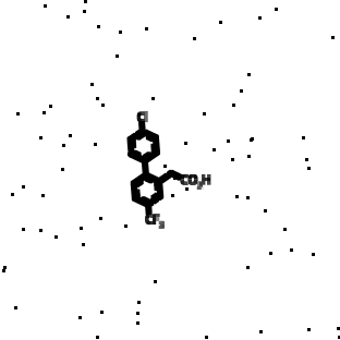 O=C(O)Cc1cc(C(F)(F)F)ccc1-c1ccc(Cl)cc1